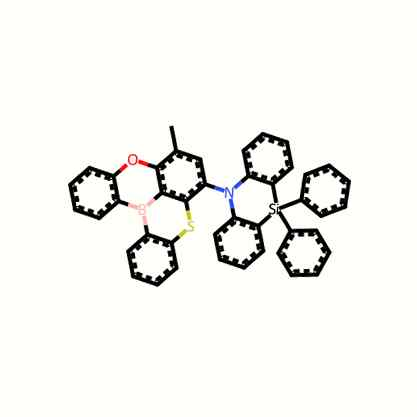 Cc1cc(N2c3ccccc3[Si](c3ccccc3)(c3ccccc3)c3ccccc32)c2c3c1Oc1ccccc1B3c1ccccc1S2